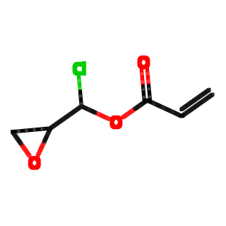 C=CC(=O)OC(Cl)C1CO1